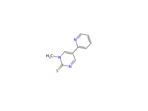 Cn1cc(-c2ccccn2)cnc1=S